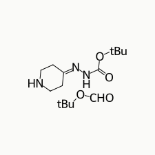 CC(C)(C)OC(=O)NN=C1CCNCC1.CC(C)(C)OC=O